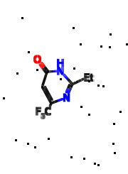 CCc1nc(C(F)(F)F)cc(=O)[nH]1